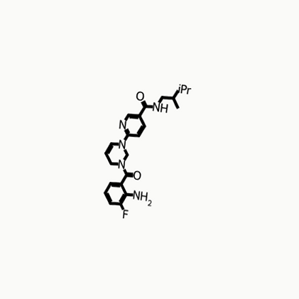 CC(C)C(C)CNC(=O)c1ccc(N2C=CCN(C(=O)c3cccc(F)c3N)C2)nc1